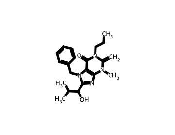 C=C1N(CCC)C(=O)c2c(nc(C(O)C(C)C)n2Cc2ccccc2)N1C